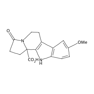 COc1ccc2[nH]c3c(c2c1)CCN1C(=O)CCC31C(=O)O